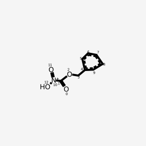 O=C(OCc1ccccc1)[N+](=O)O